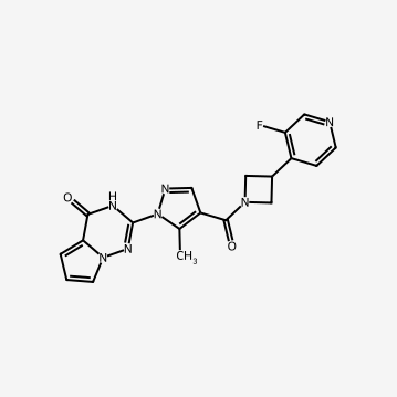 Cc1c(C(=O)N2CC(c3ccncc3F)C2)cnn1-c1nn2cccc2c(=O)[nH]1